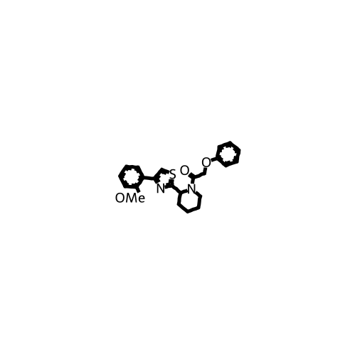 COc1ccccc1-c1csc(C2CCCCN2C(=O)COc2ccccc2)n1